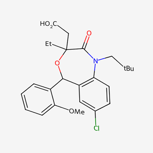 CCC1(CC(=O)O)OC(c2ccccc2OC)c2cc(Cl)ccc2N(CC(C)(C)C)C1=O